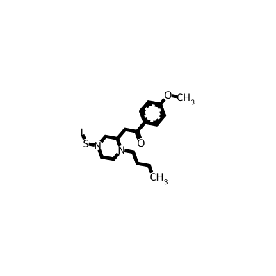 CCCCN1CCN(SI)CC1CC(=O)c1ccc(OC)cc1